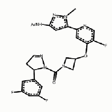 CC(=O)Nc1cc(-c2cc(OC3CN(C(=O)N4N=CCC4c4cc(F)cc(F)c4)C3)c(F)cn2)n(C)n1